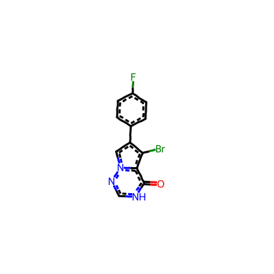 O=c1[nH]cnn2cc(-c3ccc(F)cc3)c(Br)c12